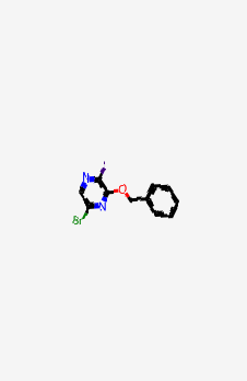 Brc1cnc(I)c(OCc2ccccc2)n1